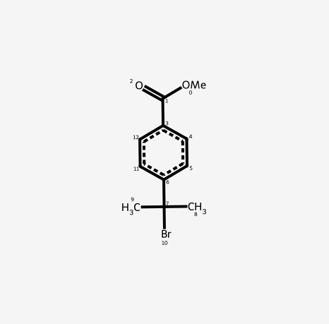 COC(=O)c1ccc(C(C)(C)Br)cc1